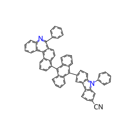 N#Cc1ccc2c3cc(-c4c5ccccc5c(-c5cccc6c5ccc5c(-c7ccccc7)nc7ccccc7c56)c5ccccc45)ccc3n(-c3ccccc3)c2c1